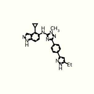 CCc1cc(-c2ccc(-c3nc(Nc4ccc5[nH]ncc5c4C4CC4)n(C)n3)cc2)n[nH]1